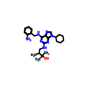 CC(CNc1nc(NCc2ccccc2N)c2ncn(C3CCCCC3)c2n1)C(C)(C)O